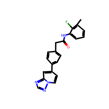 Cc1cccc(NC(=O)Cc2ccc(-c3ccn4ncnc4c3)cc2)c1F